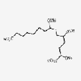 CCCCCCCCC(CCC(CCC(CCCCCCC(=O)O)OC)OC)OC